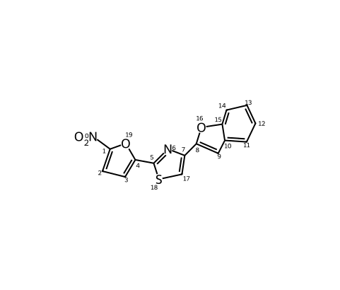 O=[N+]([O-])c1ccc(-c2nc(-c3cc4ccccc4o3)cs2)o1